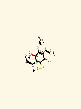 C=CSC1=C(C=C)C(=O)C(SC)=C(/C=C\C)C1=O